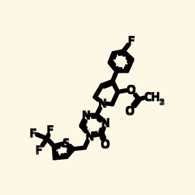 CC(=O)OC1CN(c2ncn(Cc3ccc(C(F)(F)F)s3)c(=O)n2)CC=C1c1ccc(F)cc1